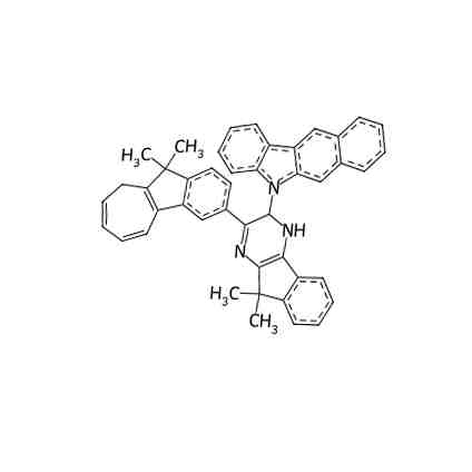 CC1(C)C2=C(C=CC=CC2)c2cc(C3=NC4=C(NC3n3c5ccccc5c5cc6ccccc6cc53)c3ccccc3C4(C)C)ccc21